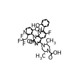 Cc1ccnc(C(C)C(F)(F)F)c1-n1c(=O)nc(N2C[C@@H](C)N(C(=O)O)C[C@@H]2C)c2cc(F)c(-c3ccccc3O)nc21